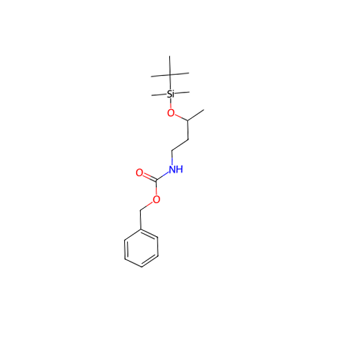 CC(CCNC(=O)OCc1ccccc1)O[Si](C)(C)C(C)(C)C